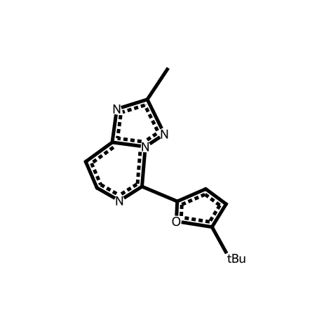 Cc1nc2ccnc(-c3ccc(C(C)(C)C)o3)n2n1